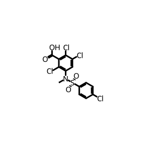 CN(c1cc(Cl)c(Cl)c(C(=O)O)c1Cl)S(=O)(=O)c1ccc(Cl)cc1